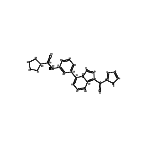 O=C(c1cccs1)c1cnn2c(-c3cccc(NC(=O)C4CCCC4)c3)ccnc12